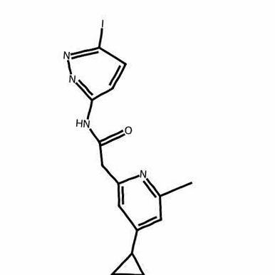 Cc1cc(C2CC2)cc(CC(=O)Nc2ccc(I)nn2)n1